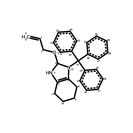 C=CCOC1NC2=C(CCCC2)N1C(c1ccccc1)(c1ccccc1)c1ccccc1